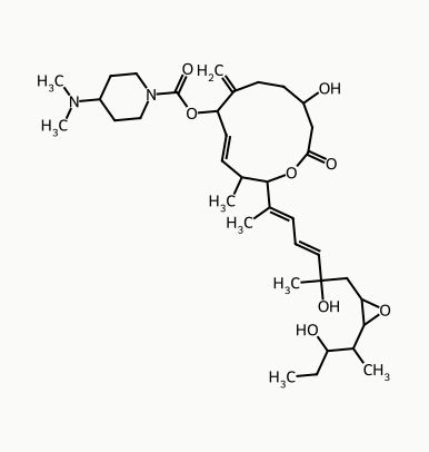 C=C1CCC(O)CC(=O)OC(/C(C)=C/C=C/C(C)(O)CC2OC2C(C)C(O)CC)C(C)/C=C/C1OC(=O)N1CCC(N(C)C)CC1